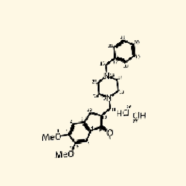 COc1cc2c(cc1OC)C(=O)C(CN1CCN(Cc3ccccc3)CC1)C2.Cl.Cl